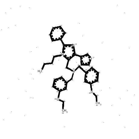 CCCCn1c(-c2ccccc2)nc(-c2ccsc2)c1CN(Cc1cccc(OCC)c1)Cc1cccc(OCC)c1